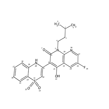 CC(C)CCn1c(=O)c(C2=CS(=O)(=O)c3ccccc3N2)c(O)c2cc(F)cnc21